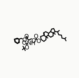 CC(C)CCCC(C)C1CCC2C3CC=C4CC(OC(=O)OCC(NC(=O)OC(C)(C)C)C(=O)OCc5ccccc5)CCC4(C)C3CCC12C